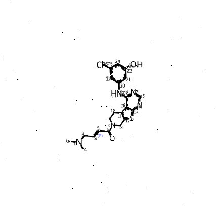 CN(C)C/C=C/C(=O)N1CCc2c(sc3ncnc(Nc4cc(O)cc(Cl)c4)c23)C1